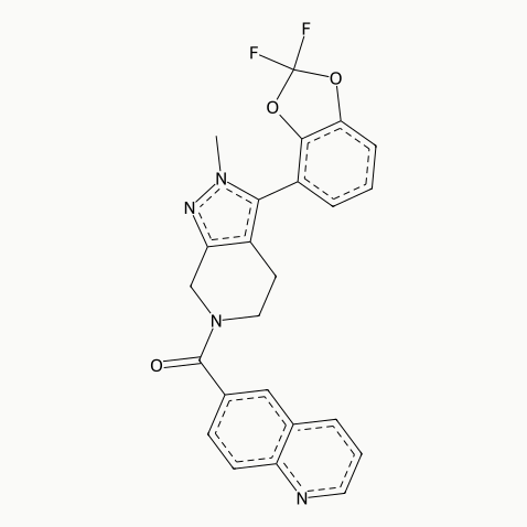 Cn1nc2c(c1-c1cccc3c1OC(F)(F)O3)CCN(C(=O)c1ccc3ncccc3c1)C2